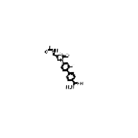 CC(=O)NCC1CN(c2ccc(-c3ccc(C(=N)N)cc3)c(F)c2)C(=O)O1